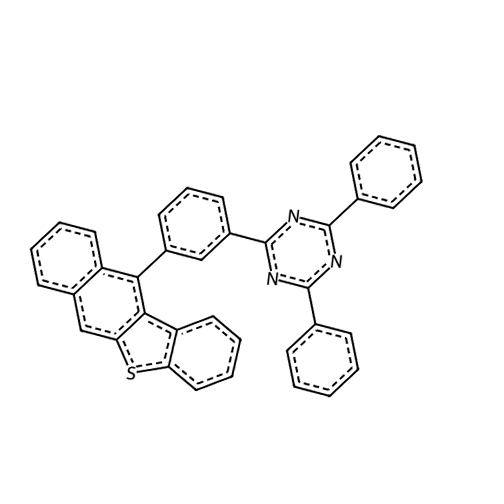 c1ccc(-c2nc(-c3ccccc3)nc(-c3cccc(-c4c5ccccc5cc5sc6ccccc6c45)c3)n2)cc1